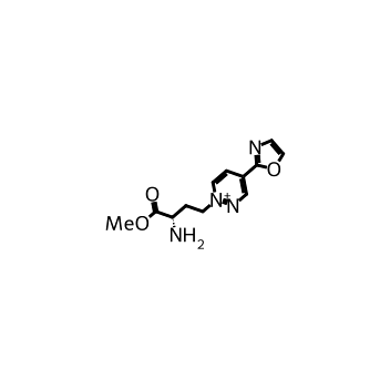 COC(=O)[C@@H](N)CC[n+]1ccc(-c2ncco2)cn1